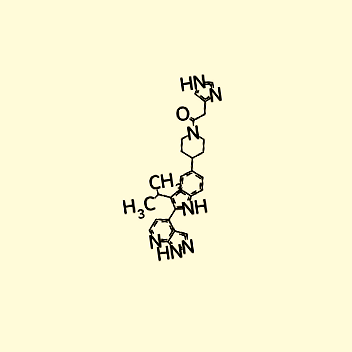 CC(C)c1c(-c2ccnc3[nH]ncc23)[nH]c2ccc(C3CCN(C(=O)Cc4c[nH]cn4)CC3)cc12